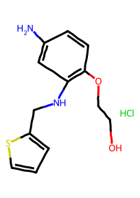 Cl.Nc1ccc(OCCO)c(NCc2cccs2)c1